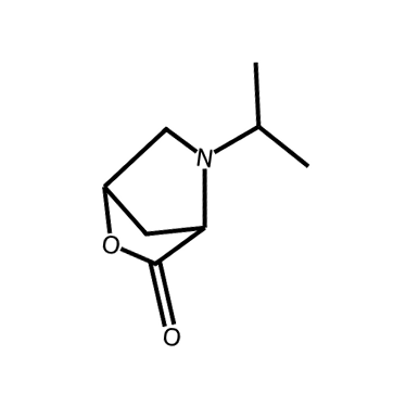 CC(C)N1CC2CC1C(=O)O2